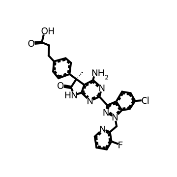 C[C@@]1(c2ccc(CCC(=O)O)cc2)C(=O)Nc2nc(-c3nn(Cc4ncccc4F)c4cc(Cl)ccc34)nc(N)c21